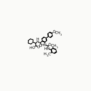 COc1ccc(-c2ccc(C(=O)NC(C(=O)O)C3CCCCC3)c(NC(=O)Nc3c(C)cccc3C)c2)cc1